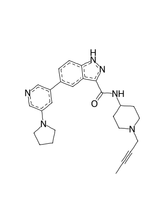 CC#CCN1CCC(NC(=O)c2n[nH]c3ccc(-c4cncc(N5CCCC5)c4)cc23)CC1